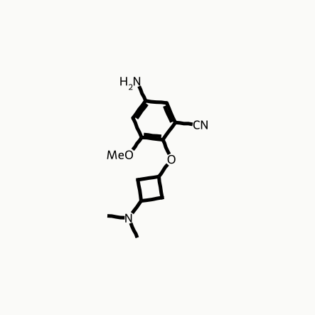 COc1cc(N)cc(C#N)c1OC1CC(N(C)C)C1